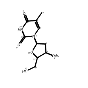 CC(=O)OC1CC(n2cc(C)c(=O)[nH]c2=O)OC1CO